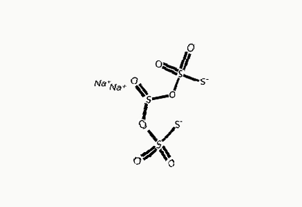 O=S(OS(=O)(=O)[S-])OS(=O)(=O)[S-].[Na+].[Na+]